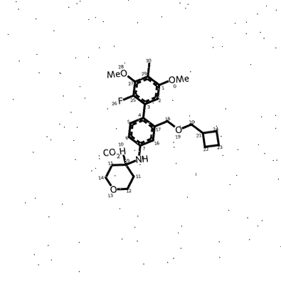 COc1cc(-c2ccc(NC3(C(=O)O)CCOCC3)cc2COCC2CCC2)c(F)c(OC)c1C